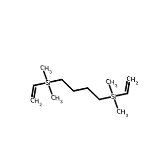 C=C[Si](C)(C)CCCC[Si](C)(C)C=C